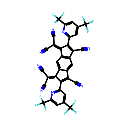 N#CC(C#N)=C1C(c2cc(C(F)(F)F)cc(C(F)(F)F)n2)=C(C#N)c2cc3c(cc21)C(=C(C#N)C#N)C(c1cc(C(F)(F)F)cc(C(F)(F)F)n1)=C3C#N